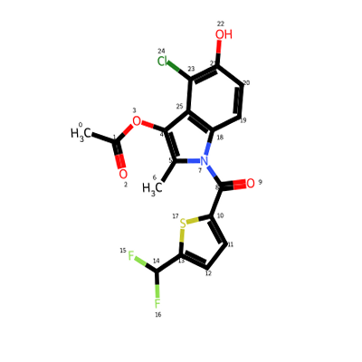 CC(=O)Oc1c(C)n(C(=O)c2ccc(C(F)F)s2)c2ccc(O)c(Cl)c12